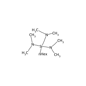 CCCCCC[Si](N(C)C)(N(C)C)N(C)C